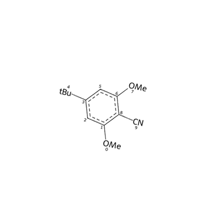 COc1cc(C(C)(C)C)cc(OC)c1C#N